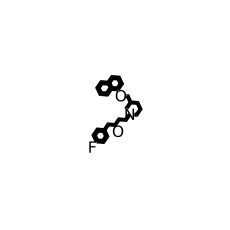 O=C(CCN1CCCC(COc2cccc3ccccc23)C1)Cc1ccc(F)cc1